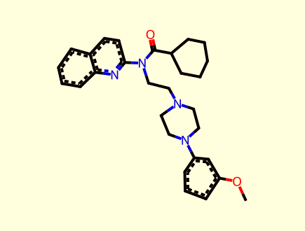 COc1cccc(N2CCN(CCN(C(=O)C3CCCCC3)c3ccc4ccccc4n3)CC2)c1